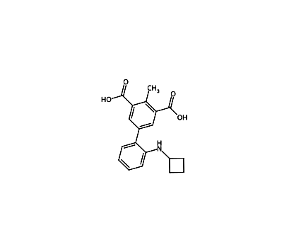 Cc1c(C(=O)O)cc(-c2ccccc2NC2CCC2)cc1C(=O)O